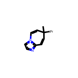 CC(C)C1(C)C=Cc2nccn2C=C1